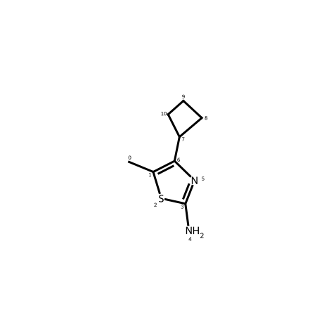 Cc1sc(N)nc1C1CCC1